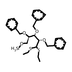 CCSC(SCC)[C@@H](OCc1ccccc1)[C@@H](OCc1ccccc1)[C@@H](CO[SiH3])OCc1ccccc1